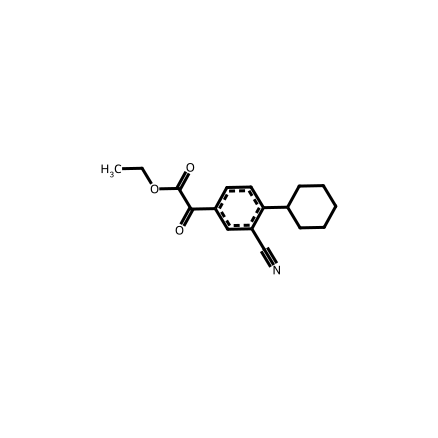 CCOC(=O)C(=O)c1ccc(C2CCCCC2)c(C#N)c1